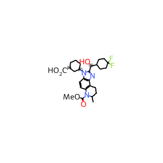 COC(=O)N1c2ccc3c(nc([C@H](O)C4CCC(F)(F)CC4)n3[C@@H]3CCC[C@@H](C(=O)O)C3)c2CCC1C